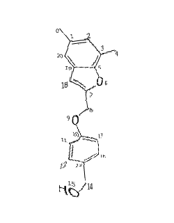 Cc1cc(C)c2oc(COc3ccc(CO)cc3)cc2c1